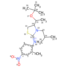 Cc1cc([N+](=O)[O-])ccc1/N=C1\SCC(C(C)OC(C)(C)C)N1CC(C)C